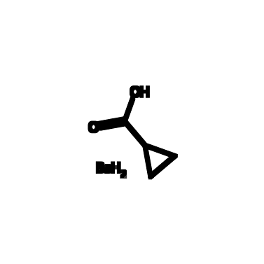 O=C(O)C1CC1.[BaH2]